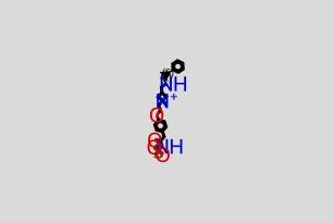 C[N+]1(CCOc2ccc(CC(=O)NS(C)(=O)=O)cc2)CC(CN[C@@H]2C[C@H]2c2ccccc2)C1